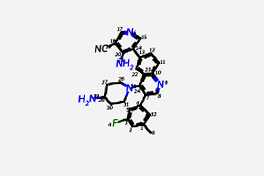 Cc1cc(F)cc(-c2cnc3ccc(-c4cncc(C#N)c4N)cc3c2N2CCC(N)CC2)c1